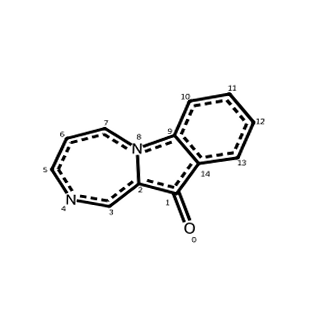 O=c1c2cncccn-2c2ccccc12